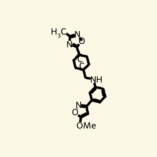 COc1cc(-c2cccc(NCC34CCC(c5nc(C)no5)(CC3)CC4)c2)no1